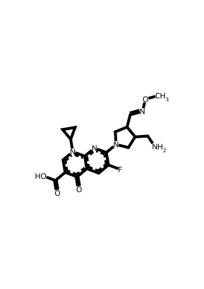 CON=CC1CN(c2nc3c(cc2F)c(=O)c(C(=O)O)cn3C2CC2)CC1CN